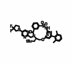 Cc1cccc(C)c1-c1cc2nc(n1)NS(=O)(=O)c1cccc(c1)C(=O)N(Cc1ncc(N3CCC(F)(F)C3)cn1)[C@H](CC(C)(C)C)CO2